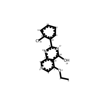 CCOc1cncc2nc(-c3ccccc3Cl)nc(O)c12